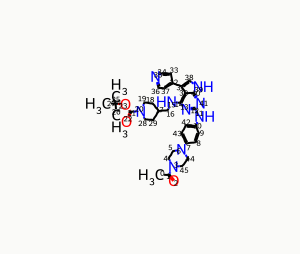 CC(=O)N1CCN(c2ccc(Nc3nc(NCC4CCN(C(=O)OC(C)(C)C)CC4)c4c(-c5ccncc5)c[nH]c4n3)cc2)CC1